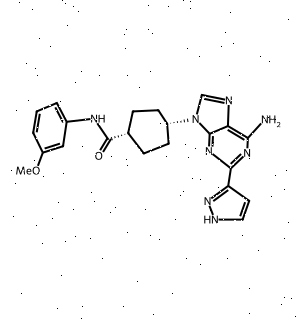 COc1cccc(NC(=O)[C@H]2CC[C@@H](n3cnc4c(N)nc(-c5cc[nH]n5)nc43)CC2)c1